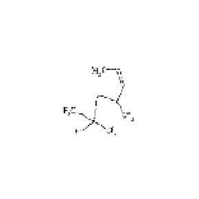 C/C=C\C(CC(F)(C(F)(F)F)C(F)(F)F)C(F)(F)F